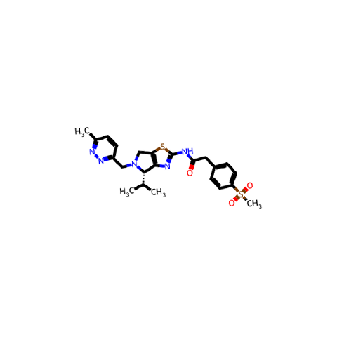 Cc1ccc(CN2Cc3sc(NC(=O)Cc4ccc(S(C)(=O)=O)cc4)nc3[C@@H]2C(C)C)nn1